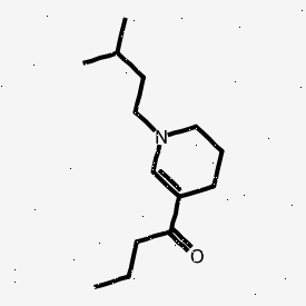 CCCC(=O)C1=CN(CCC(C)C)CCC1